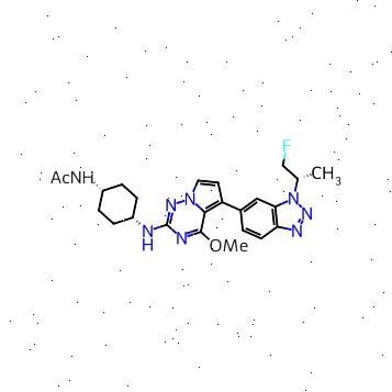 COc1nc(N[C@H]2CC[C@@H](NC(C)=O)CC2)nn2ccc(-c3ccc4nnn([C@@H](C)CF)c4c3)c12